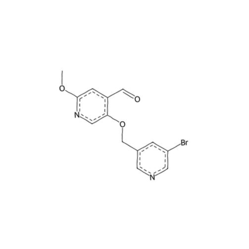 COc1cc(C=O)c(OCc2cncc(Br)c2)cn1